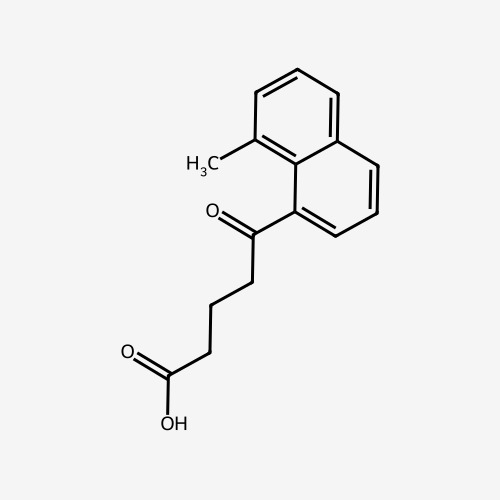 Cc1cccc2cccc(C(=O)CCCC(=O)O)c12